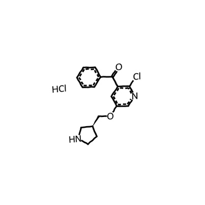 Cl.O=C(c1ccccc1)c1cc(OC[C@H]2CCNC2)cnc1Cl